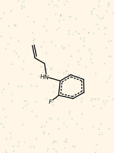 C=CCNc1[c]cccc1F